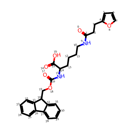 O=C(CCc1ccco1)NCCCCC(NC(=O)OCC1c2ccccc2-c2ccccc21)C(=O)O